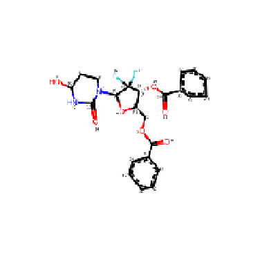 O=C(OC[C@H]1O[C@@H](N2CCC(O)NC2=O)C(F)(F)[C@@H]1OC(=O)c1ccccc1)c1ccccc1